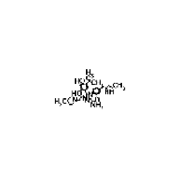 CCCC(=N)Cc1ccc(N2C(C(N)=O)=NN(CCN3CCC(C)CC3)C2c2cc(C(C)C)c(O)cc2O)cc1